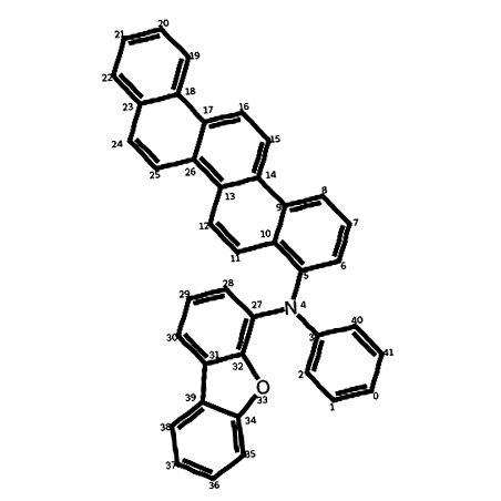 c1ccc(N(c2cccc3c2ccc2c3ccc3c4ccccc4ccc32)c2cccc3c2oc2ccccc23)cc1